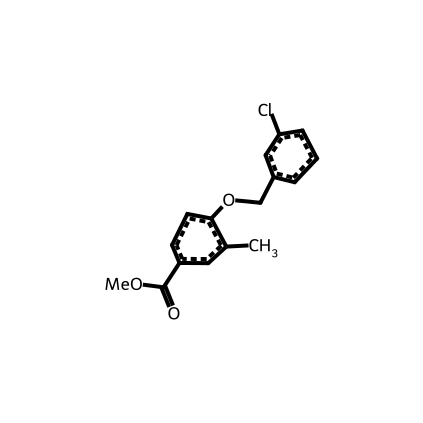 COC(=O)c1ccc(OCc2cccc(Cl)c2)c(C)c1